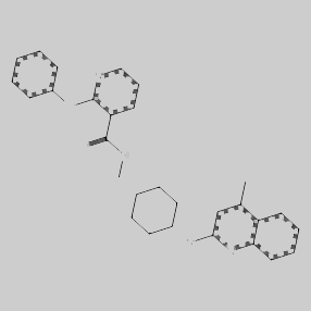 Cc1cc(N[C@H]2CC[C@@H](CNC(=O)c3cccnc3Oc3ccccc3)CC2)nc2ccccc12